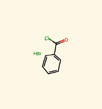 Br.O=C(Cl)c1ccccc1